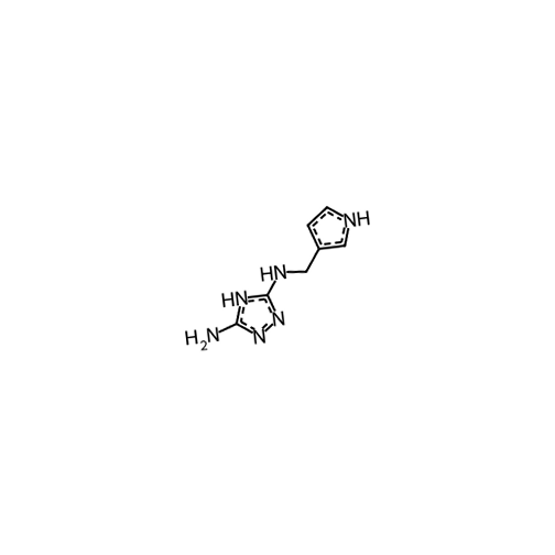 Nc1nnc(NCc2cc[nH]c2)[nH]1